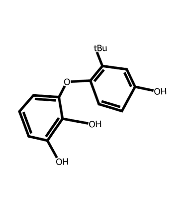 CC(C)(C)c1cc(O)ccc1Oc1cccc(O)c1O